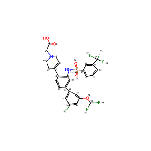 O=C(O)CN1CC=C(c2ccc(-c3cc(F)cc(OC(F)F)c3)cc2NS(=O)(=O)c2cccc(C(F)(F)F)c2)CC1